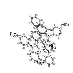 CC(C)(C)c1ccc2c(c1)c1ccccc1n2-c1ccc(-c2cccc(C#N)c2)cc1-c1nc(-c2ccccc2)nc(-c2cc(C(F)(F)F)ccc2-n2c3ccccc3c3cc(C(C)(C)C)ccc32)n1